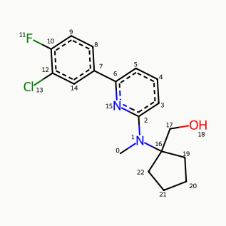 CN(c1cccc(-c2ccc(F)c(Cl)c2)n1)C1(CO)CCCC1